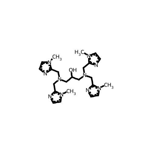 Cn1ccnc1CN(Cc1nccn1C)CC(O)CN(Cc1nccn1C)Cc1nccn1C